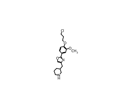 COc1cc(-c2nc(CC3CCCNC3)co2)ccc1OCCCCl